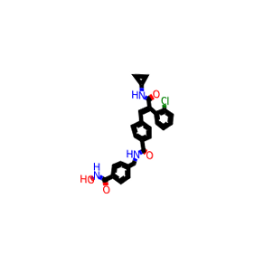 O=C(NC1CC1)/C(=C/c1ccc(C(=O)NCc2ccc(C(=O)NO)cc2)cc1)c1ccccc1Cl